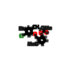 CCc1cc(C)c(OCc2c(OC)cccc2OC(=O)OC)cc1Cl